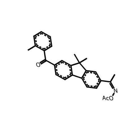 CC(=O)O/N=C(/C)c1ccc2c(c1)C(C)(C)c1cc(C(=O)c3ccccc3C)ccc1-2